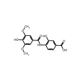 COc1cc(C(=O)Nc2ccc(C(=O)O)cc2O)cc(OC)c1O